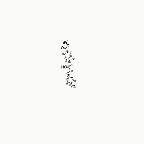 CC(C)OC(=O)N1CC2CC(CN(C[C@H](O)COc3ccc(C#N)cc3)C2)C1